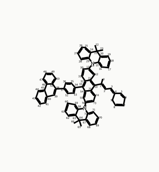 C/C(=C\C=C1\C=CC=CC1)c1c2cc(N3c4ccccc4C(C)(C)c4ccccc43)ccc2c(-c2ccc(-c3cc4ccccc4c4ccccc34)cc2)c2cc(N3c4ccccc4C(C)(C)c4ccccc43)ccc12